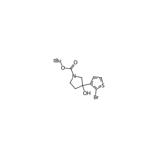 CC(C)(C)OC(=O)N1CCC(O)(c2ccsc2Br)C1